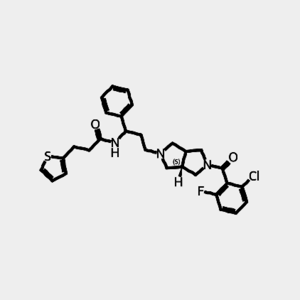 O=C(CCc1cccs1)NC(CCN1CC2CN(C(=O)c3c(F)cccc3Cl)C[C@@H]2C1)c1ccccc1